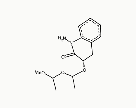 COC(C)OC(C)O[C@H]1Cc2ccccc2N(N)C1=O